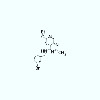 CCOc1ncc2nc(C)nc(NCc3cccc(Br)c3)c2n1